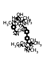 COC(=O)C[C@@H]1N=C(c2ccc(-c3ccc4cc(C(=O)NC(C(=O)N5C[C@H](O)C[C@H]5C(=O)N[C@@H](C)c5ccc(-c6scnc6C)cc5)C(C)(C)C)oc4c3)cc2)c2c(sc(C)c2C)-n2c(C)nnc21